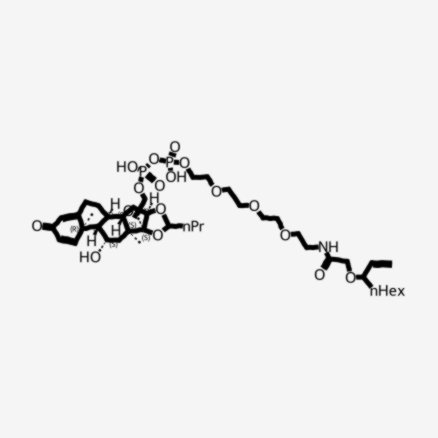 C=CC(CCCCCC)OCC(=O)NCCOCCOCCOCCOP(=O)(O)OP(=O)(O)OCC(=O)[C@@]12OC(CCC)O[C@@H]1C[C@H]1[C@@H]3CCC4=CC(=O)C=C[C@]4(C)[C@H]3[C@@H](O)C[C@@]12C